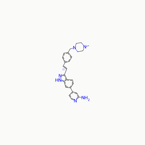 CN1CCN(Cc2ccc(/C=C/c3n[nH]c4cc(-c5ccnc(N)c5)ccc34)cc2)CC1